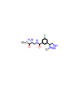 CCN1NNCC1c1cc(F)cc(C(=O)NC[C@@H](N)C(=O)OC)c1